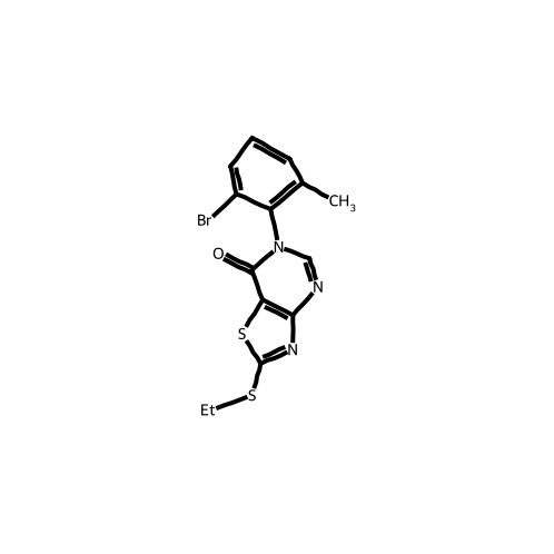 CCSc1nc2ncn(-c3c(C)cccc3Br)c(=O)c2s1